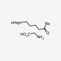 CCCCCCCCCCC[C](=O)[Na].NCC(=O)O